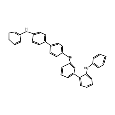 c1ccc(Nc2ccc(-c3ccc(Nc4cccc(-c5ccccc5Nc5ccccc5)c4)cc3)cc2)cc1